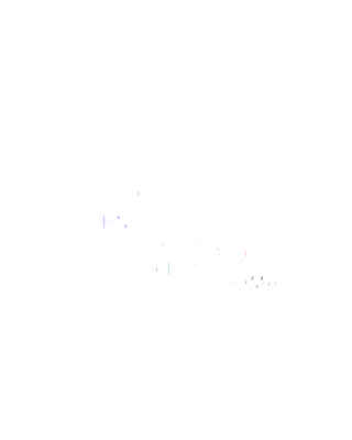 COC(=O)c1ccc(-c2ccc(NC(=O)CCCCl)cc2Cl)cc1